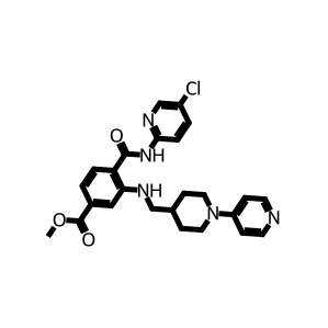 COC(=O)c1ccc(C(=O)Nc2ccc(Cl)cn2)c(NCC2CCN(c3ccncc3)CC2)c1